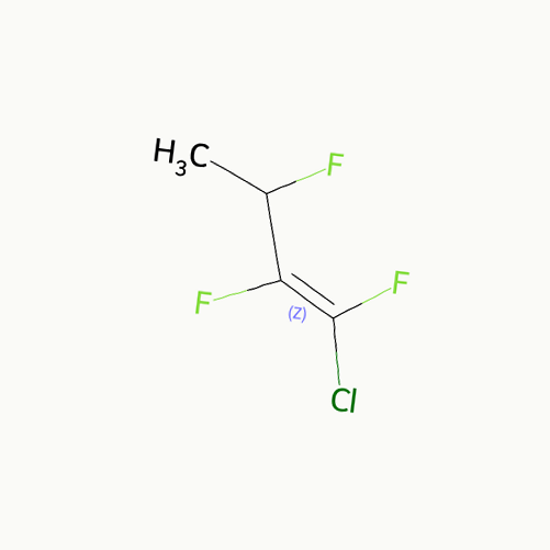 CC(F)/C(F)=C(\F)Cl